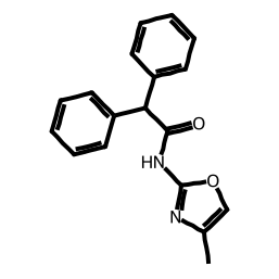 Cc1coc(NC(=O)C(c2ccccc2)c2ccccc2)n1